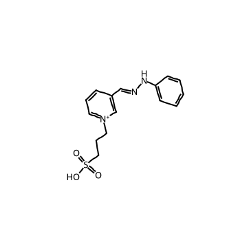 O=S(=O)(O)CCC[n+]1cccc(C=NNc2ccccc2)c1